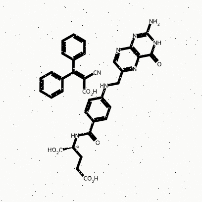 N#CC(C(=O)O)=C(c1ccccc1)c1ccccc1.Nc1nc2ncc(CNc3ccc(C(=O)N[C@@H](CCC(=O)O)C(=O)O)cc3)nc2c(=O)[nH]1